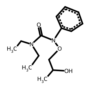 CCN(CC)C(=O)N(OCC(C)O)c1ccccc1